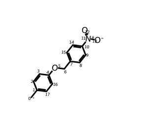 [CH2]c1ccc(OCc2ccc([N+](=O)[O-])cc2)cc1